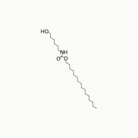 CCCCCCCCCCCCCCCCOC(=O)NCCCCCCO